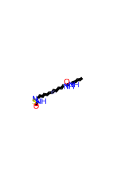 CCCCCNC(=O)NCCCC/C=C/CCCCCc1nsc(=O)[nH]1